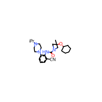 CC(C)N1CCN(c2cccc(C#N)c2NC(=O)N2CC(C)(OC3CCCCC3)C2)CC1